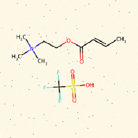 CC=CC(=O)OCC[N+](C)(C)C.O=S(=O)(O)C(F)(F)F